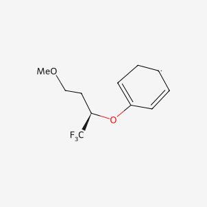 COCC[C@@H](OC1=CC[CH]C=C1)C(F)(F)F